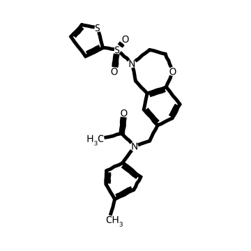 CC(=O)N(Cc1ccc2c(c1)CN(S(=O)(=O)c1cccs1)CCO2)c1ccc(C)cc1